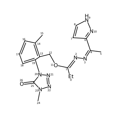 CC/C(=N\N=C(C)c1cc[nH]n1)OCc1c(C)cccc1-n1nnn(C)c1=O